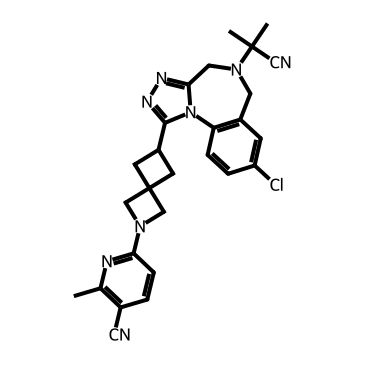 Cc1nc(N2CC3(CC(c4nnc5n4-c4ccc(Cl)cc4CN(C(C)(C)C#N)C5)C3)C2)ccc1C#N